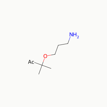 CC(=O)C(C)(C)OCCCN